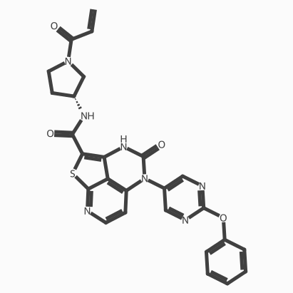 C=CC(=O)N1CC[C@@H](NC(=O)c2sc3nccc4c3c2NC(=O)N4c2cnc(Oc3ccccc3)nc2)C1